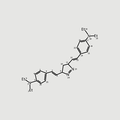 CCN(CC)c1ccc(C=CC2CC(C=Cc3ccc(N(CC)CC)cc3)N=N2)cc1